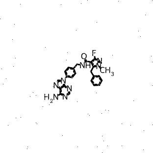 Cn1nc(F)c(C(=O)NCc2ccc(-n3cnc4c(N)ncnc43)cc2)c1Cc1ccccc1